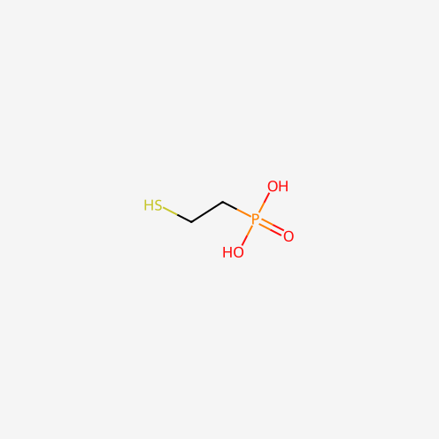 O=P(O)(O)CCS